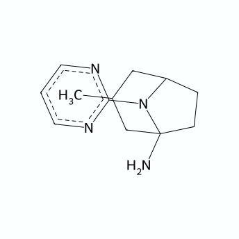 CC1CC2CCC(N)(C1)N2c1ncccn1